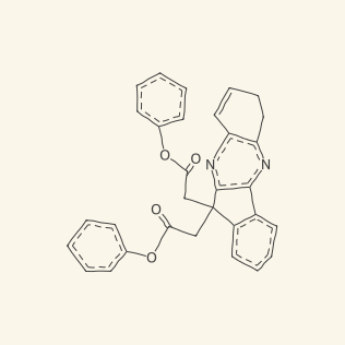 O=C(CC1(CC(=O)Oc2ccccc2)c2ccccc2-c2nc3c(nc21)C=CCC3)Oc1ccccc1